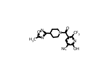 Cc1nc(C2CCN(C(=O)c3cc(C#N)c(O)nc3C(F)(F)F)CC2)no1